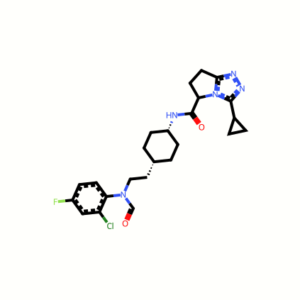 O=CN(CC[C@H]1CC[C@@H](NC(=O)C2CCc3nnc(C4CC4)n32)CC1)c1ccc(F)cc1Cl